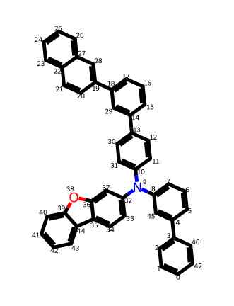 c1ccc(-c2cccc(N(c3ccc(-c4cccc(-c5ccc6ccccc6c5)c4)cc3)c3ccc4c(c3)oc3ccccc34)c2)cc1